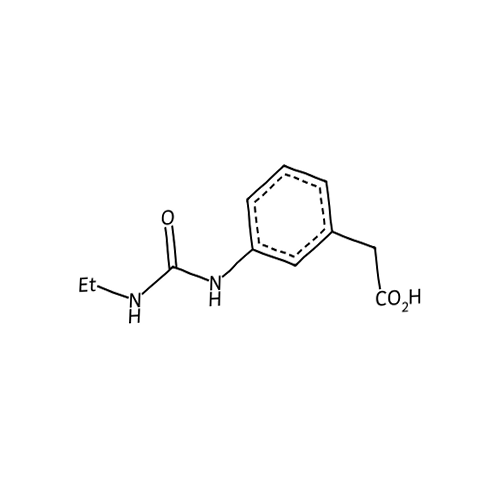 CCNC(=O)Nc1cccc(CC(=O)O)c1